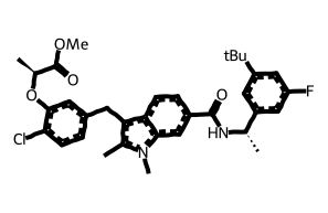 COC(=O)[C@H](C)Oc1cc(Cc2c(C)n(C)c3cc(C(=O)N[C@@H](C)c4cc(F)cc(C(C)(C)C)c4)ccc23)ccc1Cl